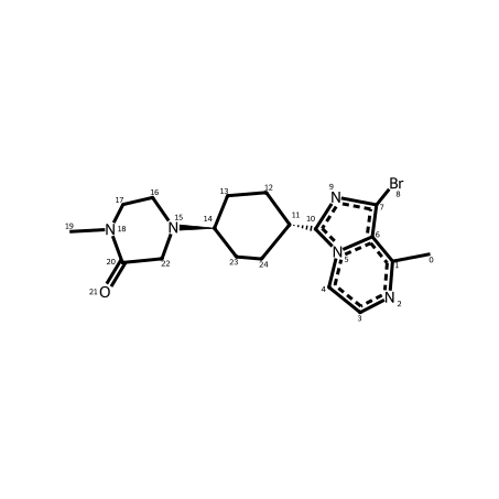 Cc1nccn2c1c(Br)nc2[C@H]1CC[C@H](N2CCN(C)C(=O)C2)CC1